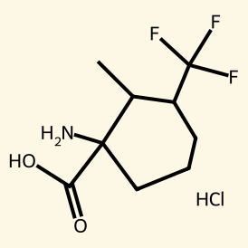 CC1C(C(F)(F)F)CCCC1(N)C(=O)O.Cl